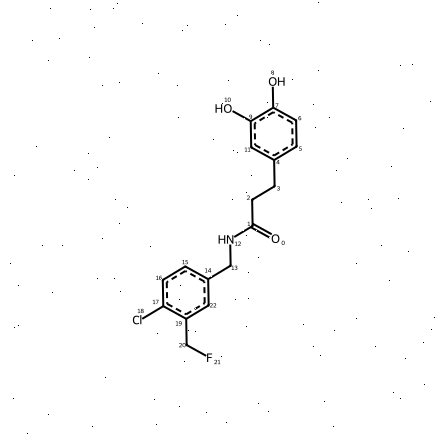 O=C(CCc1ccc(O)c(O)c1)NCc1ccc(Cl)c(CF)c1